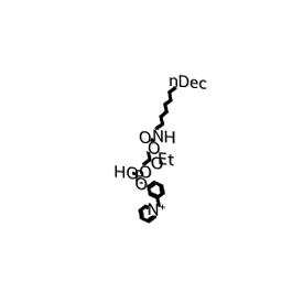 CCCCCCCCCCCCCCCCCCNC(=O)OCC(COP(O)Oc1cccc(C[n+]2ccccc2)c1)OCC